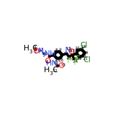 CON=CNC(=O)c1ccc(C2=NOC(c3cc(Cl)cc(Cl)c3)(C(F)(F)F)C2)cc1NC(C)=O